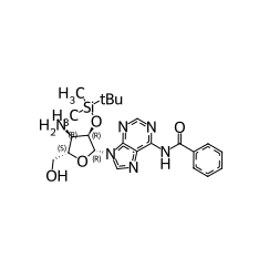 CC(C)(C)[Si](C)(C)O[C@@H]1[C@H](N)[C@@H](CO)O[C@H]1n1cnc2c(NC(=O)c3ccccc3)ncnc21